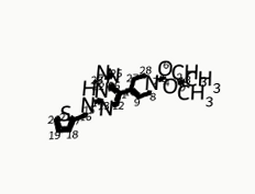 CC(C)(C)OC(=O)N1CC=C(c2cnc(NCc3cccs3)n3cnnc23)CC1